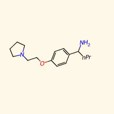 CCCC(N)c1ccc(OCCN2CCCC2)cc1